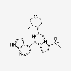 CC1COCCN1c1cn2c([S+](C)[O-])ccc2c(-c2ccnc3[nH]ccc23)n1